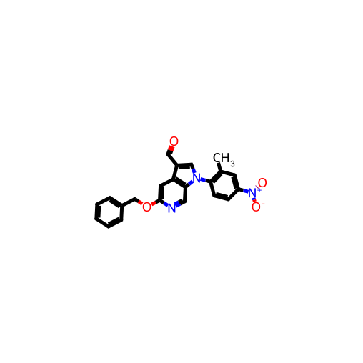 Cc1cc([N+](=O)[O-])ccc1-n1cc(C=O)c2cc(OCc3ccccc3)ncc21